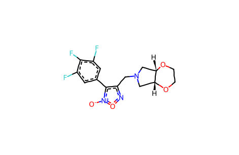 [O-][n+]1onc(CN2C[C@@H]3OCCO[C@@H]3C2)c1-c1cc(F)c(F)c(F)c1